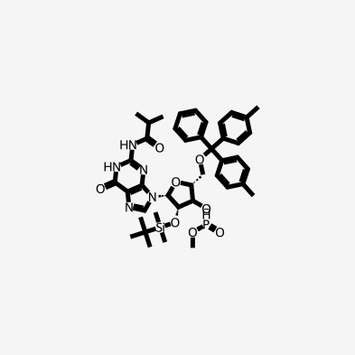 CO[PH](=O)OC1[C@@H](COC(c2ccccc2)(c2ccc(C)cc2)c2ccc(C)cc2)O[C@@H](n2cnc3c(=O)[nH]c(NC(=O)C(C)C)nc32)[C@H]1O[Si](C)(C)C(C)(C)C